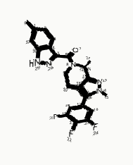 Cc1ccc2c(C(=O)N3CCc4c(nn(C)c4-c4cc(F)c(F)c(F)c4)[C@@H]3C)n[nH]c2c1